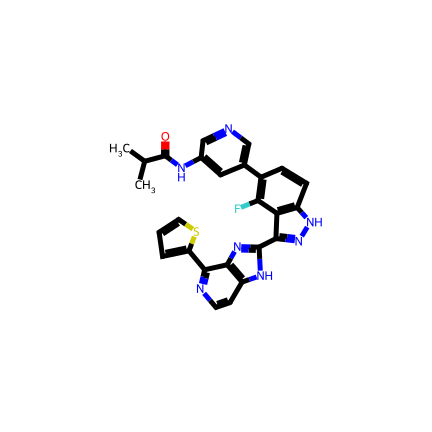 CC(C)C(=O)Nc1cncc(-c2ccc3[nH]nc(-c4nc5c(-c6cccs6)nccc5[nH]4)c3c2F)c1